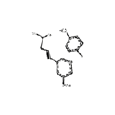 CCC(O)C/C=C/c1cncc(OC)c1.Cc1ccc(S(=O)(=O)O)cc1